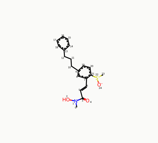 CN(O)C(=O)C=Cc1cc(CCCc2ccccc2)ccc1[S+](C)[O-]